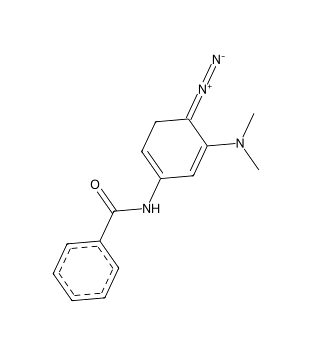 CN(C)C1=CC(NC(=O)c2ccccc2)=CCC1=[N+]=[N-]